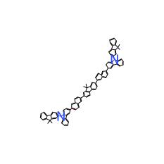 CC1(C)c2cc(-c3ccc4cc(-c5ccc6c(c5)c5ccccc5n6-c5ccc6c(c5)C(C)(C)c5ccccc5-6)ccc4c3)ccc2-c2ccc(-c3ccc4cc(C5C=c6c(n(-c7ccc8c(c7)C(C)(C)c7ccccc7-8)c7ccccc67)=CC5)ccc4c3)cc21